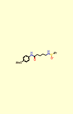 CSc1ccc(NC(=O)CCCCN[S+]([O-])C(C)C)cc1